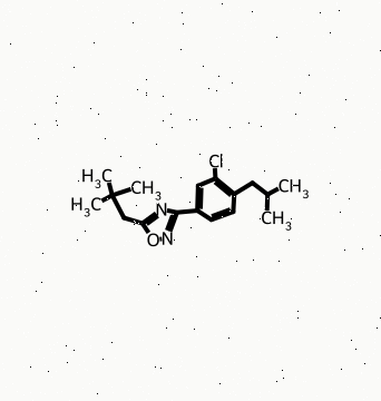 CC(C)Cc1ccc(-c2noc(CC(C)(C)C)n2)cc1Cl